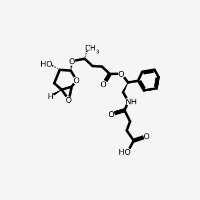 C[C@H](CCC(=O)O[C@H](CNC(=O)CCC(=O)O)c1ccccc1)O[C@@H]1OC2O[C@@H]2C[C@@H]1O